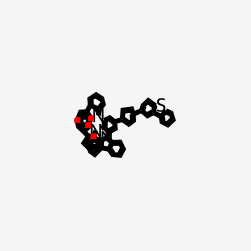 c1ccc2c(c1)sc1ccc(-c3ccc(-c4cc(-n5c6ccccc6c6ccccc65)c(-n5c6ccccc6c6ccccc65)c(-n5c6ccccc6c6ccccc65)c4)cc3)cc12